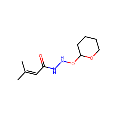 CC(C)=CC(=O)NNOC1CCCCO1